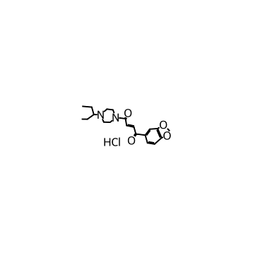 CCC(CC)N1CCN(C(=O)C=CC(=O)c2ccc3c(c2)OCO3)CC1.Cl